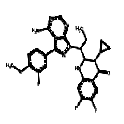 CCC(C1Nc2cc(F)c(F)cc2C(=O)N1C1CC1)n1nc(-c2ccc(OC)c(F)c2)c2c(N)ncnc21